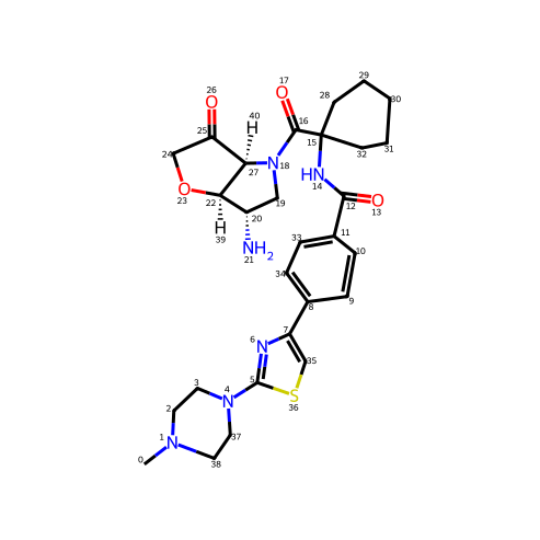 CN1CCN(c2nc(-c3ccc(C(=O)NC4(C(=O)N5C[C@H](N)[C@H]6OCC(=O)[C@H]65)CCCCC4)cc3)cs2)CC1